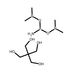 CN(C)OP(N)ON(C)C.OCC(CO)(CO)CO